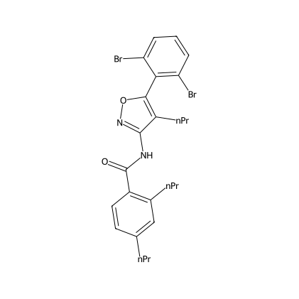 CCCc1ccc(C(=O)Nc2noc(-c3c(Br)cccc3Br)c2CCC)c(CCC)c1